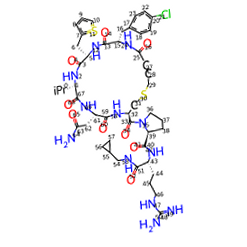 CC(C)[C@@H]1NC(=O)[C@H](Cc2cccs2)NC(=O)[C@H](Cc2ccc(Cl)cc2)NC(=O)CCCSC[C@@H](C(=O)N2CCC[C@H]2C(=O)N[C@H](CCCNC(=N)N)C(=O)NCC2CC2)NC(=O)[C@H](CC(N)=O)NC1=O